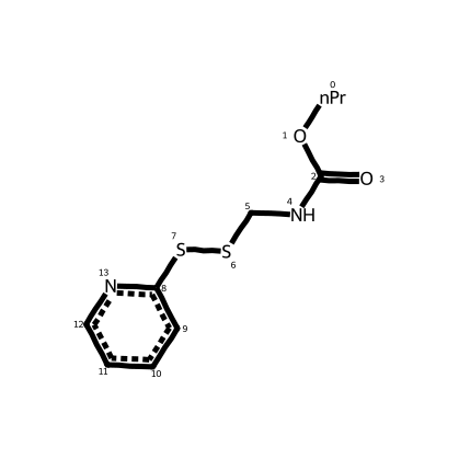 CCCOC(=O)NCSSc1ccccn1